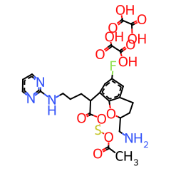 CC(=O)OSOC(=O)C(CCCNc1ncccn1)c1cc(F)cc2c1OC(CN)CC2.O=C(O)C(=O)O.O=C(O)C(=O)O